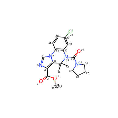 CC(C)(C)OC(=O)c1ncn2c1C(C)(C)N(C(=O)N1CCCC1)c1cc(Cl)ccc1-2